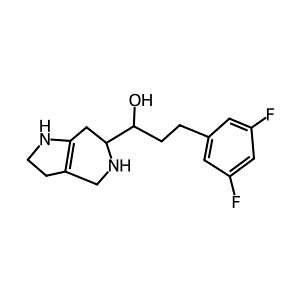 OC(CCc1cc(F)cc(F)c1)C1CC2=C(CCN2)CN1